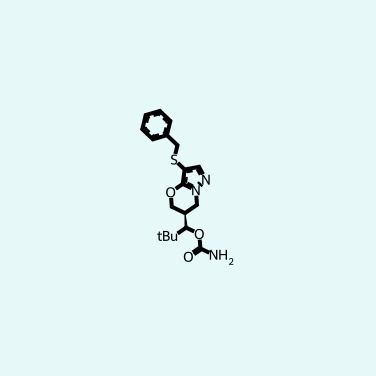 CC(C)(C)C(OC(N)=O)[C@H]1COc2c(SCc3ccccc3)cnn2C1